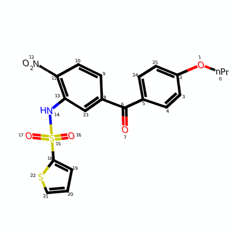 CCCOc1ccc(C(=O)c2ccc([N+](=O)[O-])c(NS(=O)(=O)c3cccs3)c2)cc1